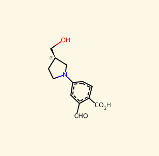 O=Cc1cc(N2CC[C@@H](CO)C2)ccc1C(=O)O